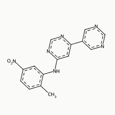 Cc1ccc([N+](=O)[O-])cc1Nc1cc(-c2cncnc2)ncn1